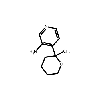 CC1(c2ccncc2N)CCCCO1